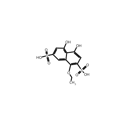 CCOc1c(S(=O)(=O)O)cc(O)c2c(O)cc(S(=O)(=O)O)cc12